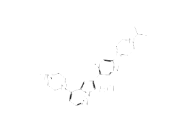 CC(C)N1CCN(c2cnc(-c3cc4c(N5CCNCC5)ccnn4c3)cn2)CC1.Cl